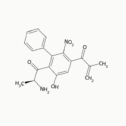 C=C(C)C(=O)c1cc(O)c(C(=O)[C@H](C)N)c(-c2ccccc2)c1[N+](=O)[O-]